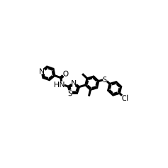 Cc1cc(Sc2ccc(Cl)cc2)cc(C)c1-c1csc(NC(=O)c2ccncc2)n1